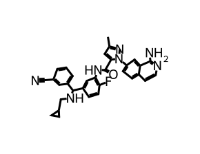 Cc1cc(C(=O)Nc2cc(C(NCC3CC3)c3cccc(C#N)c3)ccc2F)n(-c2ccc3ccnc(N)c3c2)n1